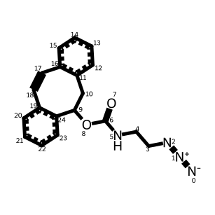 [N-]=[N+]=NCCNC(=O)OC1Cc2ccccc2C#Cc2ccccc21